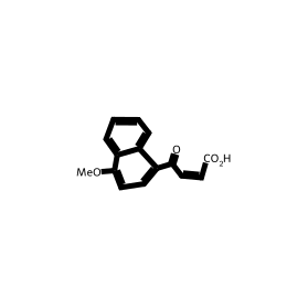 COc1ccc(C(=O)/C=C\C(=O)O)c2ccccc12